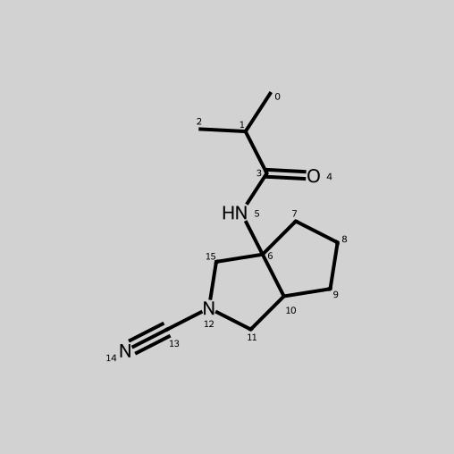 CC(C)C(=O)NC12CCCC1CN(C#N)C2